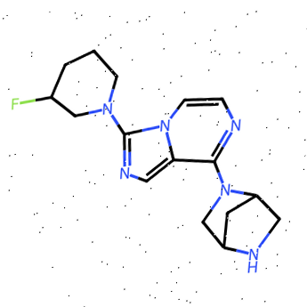 FC1CCCN(c2ncc3c(N4CC5CC4CN5)nccn23)C1